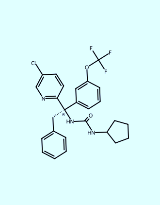 O=C(NC1CCCC1)N[C@](Cc1ccccc1)(c1cccc(OC(F)(F)F)c1)c1ccc(Cl)cn1